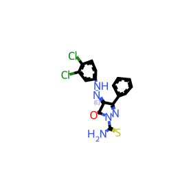 NC(=S)N1N=C(c2ccccc2)/C(=N\Nc2ccc(Cl)c(Cl)c2)C1=O